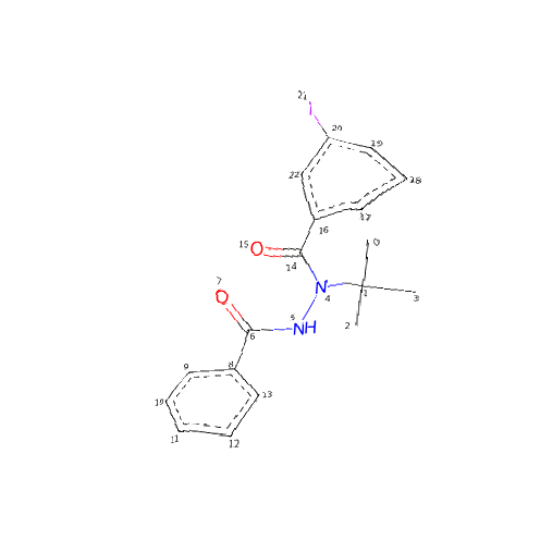 CC(C)(C)N(NC(=O)c1ccccc1)C(=O)c1cccc(I)c1